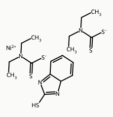 CCN(CC)C(=S)[S-].CCN(CC)C(=S)[S-].SC1=NC2C=CC=CC2=N1.[Ni+2]